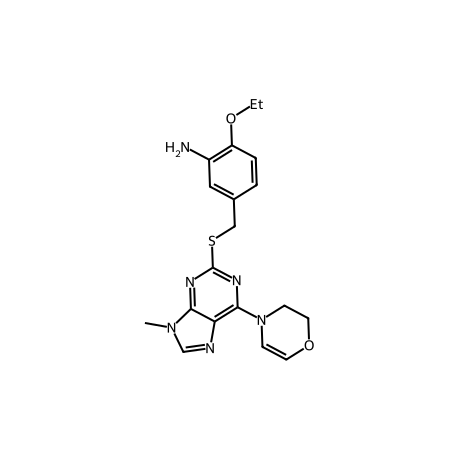 CCOc1ccc(CSc2nc(N3C=COCC3)c3ncn(C)c3n2)cc1N